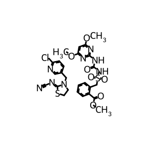 COC(=O)c1ccccc1CS(=O)(=O)NC(=O)Nc1nc(OC)cc(OC)n1.N#CN=C1SCCN1Cc1ccc(Cl)nc1